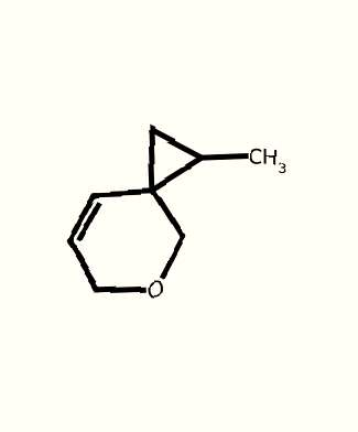 CC1CC12C=CCOC2